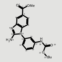 COC(=O)c1ccc2c(c1)nc(N)n2-c1cccc(NC(=O)OC(C)(C)C)c1